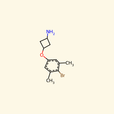 Cc1cc(OC2CC(N)C2)cc(C)c1Br